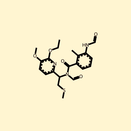 CCOc1nc(C(CSC)N(C=O)C(=O)c2cccc(NC=O)c2C)ccc1OC